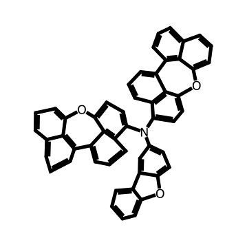 c1ccc2c(c1)oc1ccc(N(c3ccc4oc5cccc6cccc(c7cccc3c47)c65)c3ccc4oc5cccc6cccc(c7cccc3c47)c65)cc12